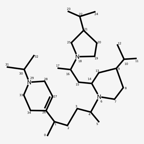 CC(CCC(C)N1CCC(C(C)C)CC1CC(C)N1CCC(C(C)C)C1)C1=CCN(C(C)C)CC1